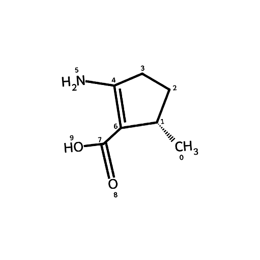 C[C@H]1CCC(N)=C1C(=O)O